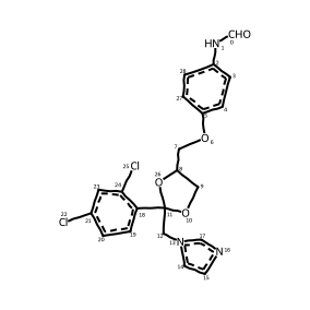 O=CNc1ccc(OCC2COC(Cn3ccnc3)(c3ccc(Cl)cc3Cl)O2)cc1